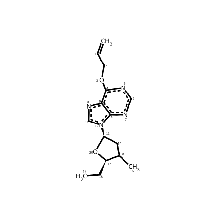 C=CCOc1ncnc2c1ncn2[C@H]1CC(C)[C@@H](CC)O1